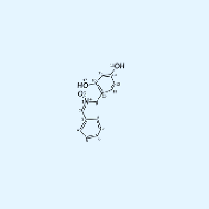 [O-]/[N+](=C/c1ccccc1)Cc1ccc(O)cc1O